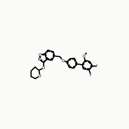 COc1cc(F)c(F)cc1-c1ccc(OCc2ccc3onc(OC4CCCCO4)c3c2)cc1